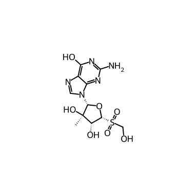 C[C@@]1(O)[C@@H](O)[C@@H](S(=O)(=O)CO)O[C@H]1n1cnc2c(O)nc(N)nc21